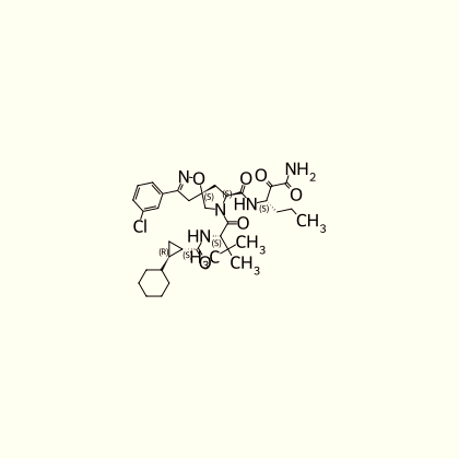 CCC[C@H](NC(=O)[C@@H]1C[C@]2(CC(c3cccc(Cl)c3)=NO2)CN1C(=O)[C@@H](NC(=O)[C@H]1C[C@@H]1C1CCCCC1)C(C)(C)C)C(=O)C(N)=O